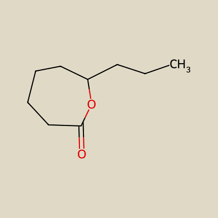 CCCC1CCCCC(=O)O1